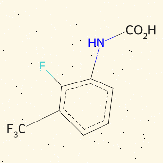 O=C(O)Nc1cccc(C(F)(F)F)c1F